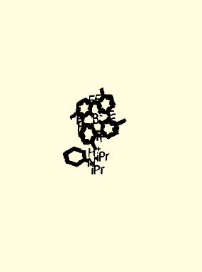 CC(C)[NH+](C(C)C)C1CCCCC1.Cc1ccc(F)c([B-](c2c(F)ccc(C)c2F)(c2c(F)ccc(C)c2F)c2c(F)ccc(C)c2F)c1F